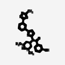 Cc1nnc(-c2cccc(-n3ccc(N(C(=O)c4cccc(O)c4)C4C[C@@H](C)N[C@@H](C)C4)n3)c2)o1